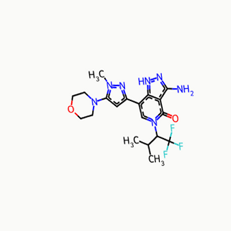 CC(C)C(n1cc(-c2cc(N3CCOCC3)n(C)n2)c2[nH]nc(N)c2c1=O)C(F)(F)F